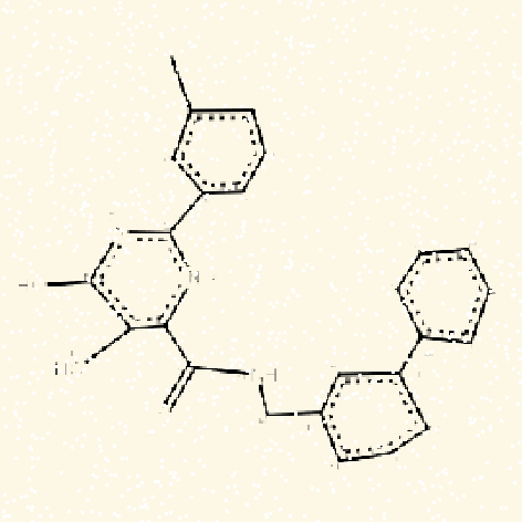 Cc1cccc(-c2nc(O)c(O)c(C(=O)NCc3cccc(-c4ccccc4)c3)n2)c1